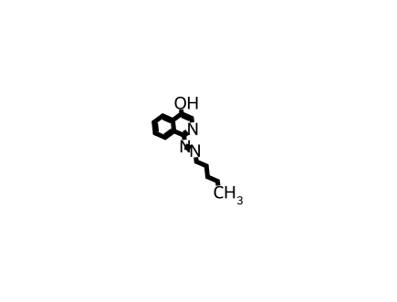 CCCCC/N=N/c1ncc(O)c2ccccc12